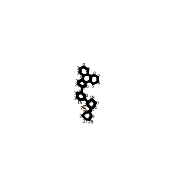 C1=CC2C3=C(CCCC3)c3cc(-c4cccc(-c5cccc6c7c(sc56)CCC=C7)c4)ccc3C2C=C1